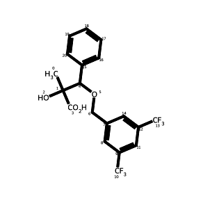 CC(O)(C(=O)O)C(OCc1cc(C(F)(F)F)cc(C(F)(F)F)c1)c1ccccc1